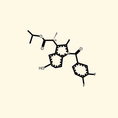 Cc1c([C@@H](C)C(=O)OC(C)C)c2cc(O)ccc2n1C(=O)c1ccc(F)c(F)c1